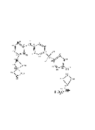 CC(C)(c1ccc(Oc2nccc(N3CC4(COC4)C3)n2)cc1)c1ccc(O[C@H]2C[C@@H](NC(=O)O)C2)cc1